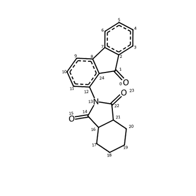 O=C1c2ccccc2-c2cccc(N3C(=O)C4CCCCC4C3=O)c21